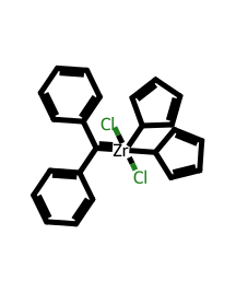 [Cl][Zr]([Cl])(=[C](c1ccccc1)c1ccccc1)([CH]1C=CC=C1)[CH]1C=CC=C1